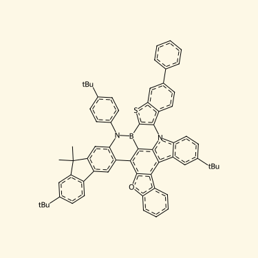 CC(C)(C)c1ccc(N2B3c4sc5cc(-c6ccccc6)ccc5c4-n4c5ccc(C(C)(C)C)cc5c5c6c(oc7ccccc76)c(c3c54)-c3cc4c(cc32)C(C)(C)c2cc(C(C)(C)C)ccc2-4)cc1